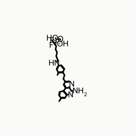 Cc1ccc2c(c1)nc(N)c1ncc(CCc3ccc(NCCCCCC(F)(F)P(=O)(O)O)cc3C)cc12